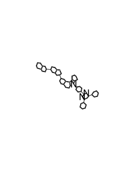 c1ccc(-c2cc(-c3ccccc3)nc(-c3ccc(-n4c5ccccc5c5c6cc(-c7ccc8ccc(-c9ccc%10ccccc%10c9)cc8c7)ccc6ccc54)cc3)n2)cc1